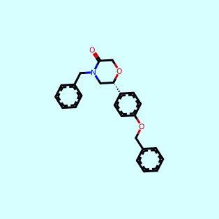 O=C1CO[C@H](c2ccc(OCc3ccccc3)cc2)CN1Cc1ccccc1